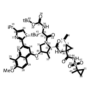 C=C[C@@H]1C[C@]1(NC(=O)[C@@H]1C(C)[C@@H](Oc2cc(-c3nc(C(C)C)cs3)nc3c(C)c(OC)ccc23)CN1C(=O)[C@@H](NC(=O)OC(C)(C)C)C(C)(C)C)C(=O)NS(=O)(=O)C1(C)CC1